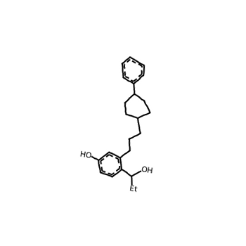 CCC(O)c1ccc(O)cc1CCCC1CCC(c2ccccc2)CC1